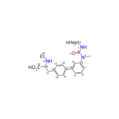 CCCCCCCNC(=O)N(C)c1cccc(-c2ccc(CC(NCC)C(=O)O)cc2)c1